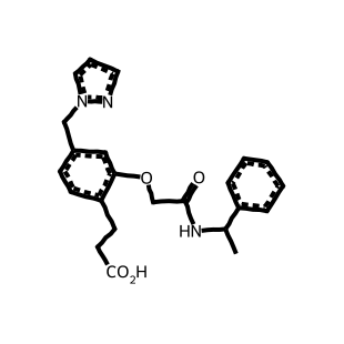 CC(NC(=O)COc1cc(Cn2cccn2)ccc1CCC(=O)O)c1ccccc1